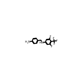 Nc1ccc(CNc2cc(F)c(C(F)(F)F)c(F)c2)cc1